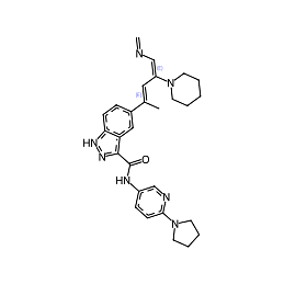 C=N/C=C(\C=C(/C)c1ccc2[nH]nc(C(=O)Nc3ccc(N4CCCC4)nc3)c2c1)N1CCCCC1